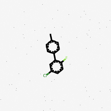 Cc1ccc(-c2cc(Cl)ccc2F)cc1